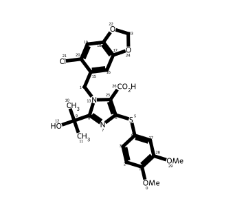 COc1ccc(Sc2nc(C(C)(C)O)n(Cc3cc4c(cc3Cl)OCO4)c2C(=O)O)cc1OC